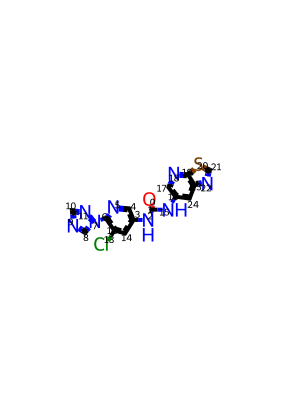 O=C(Nc1cnc(-n2cncn2)c(Cl)c1)Nc1cnc2scnc2c1